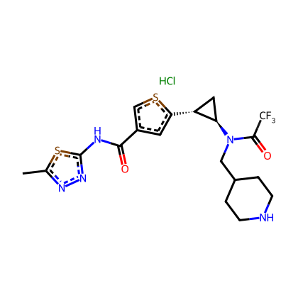 Cc1nnc(NC(=O)c2csc([C@@H]3C[C@H]3N(CC3CCNCC3)C(=O)C(F)(F)F)c2)s1.Cl